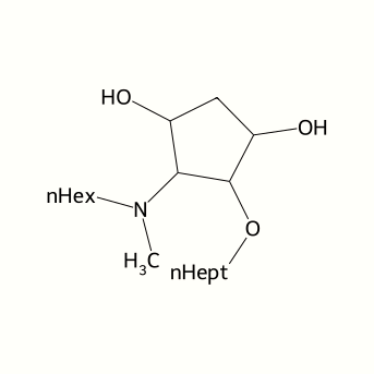 CCCCCCCOC1C(O)CC(O)C1N(C)CCCCCC